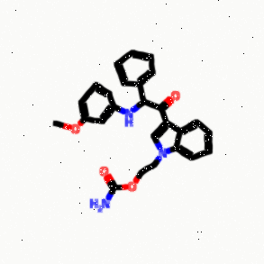 COc1cccc(NC(C(=O)c2cn(CCOC(N)=O)c3ccccc23)c2ccccc2)c1